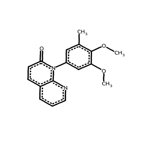 COc1cc(-n2c(=O)ccc3cccnc32)cc(C)c1OC